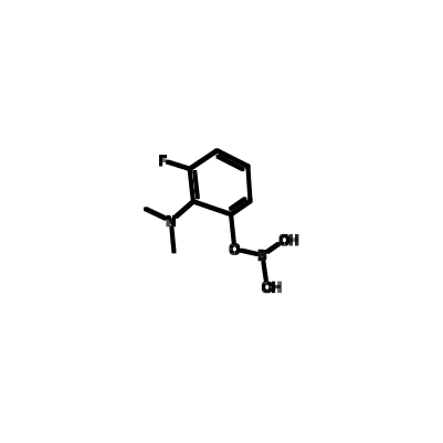 CN(C)c1c(F)cccc1OB(O)O